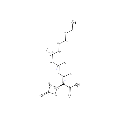 C/C(=C\C(C)=C(\C(=O)O)[C@H]1CC(=O)O1)C[C@H](C)CCCCCO